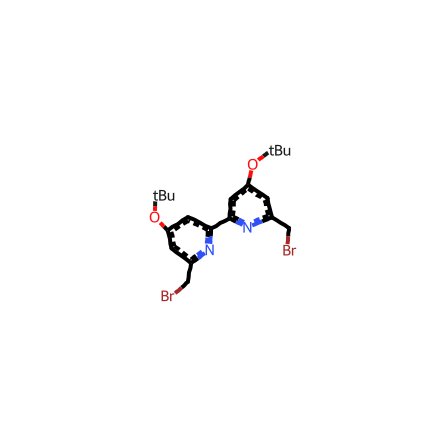 CC(C)(C)Oc1cc(CBr)nc(-c2cc(OC(C)(C)C)cc(CBr)n2)c1